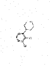 Clc1cccc(N2CC[N]CC2)c1Cl